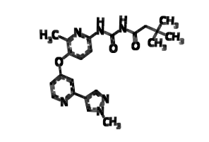 Cc1nc(NC(=O)NC(=O)CC(C)(C)C)ccc1Oc1ccnc(-c2cnn(C)c2)c1